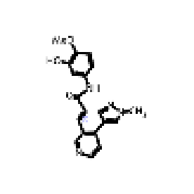 COc1ccc(NC(=O)/C=C/c2cnccc2-c2cnn(C)c2)cc1O